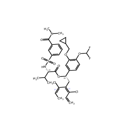 C=C/C(Cl)=C(C[C@H](OC(=O)[C@@H](NS(=O)(=O)c1cccc(C(=O)N(C)C)c1)C(C)C)c1ccc(OC(F)F)c(OCC2CC2)c1)\C(Cl)=C/C